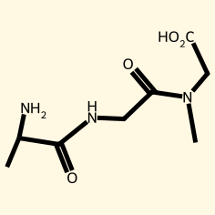 CC(N)C(=O)NCC(=O)N(C)CC(=O)O